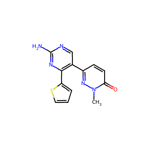 Cn1nc(-c2cnc(N)nc2-c2cccs2)ccc1=O